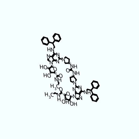 CCNC(=O)[C@H]1O[C@@H](n2cnc3c(NCC(c4ccccc4)c4ccccc4)nc(N4CC[C@H](NC(=O)N[C@@H]5CCN(c6nc(NCC(c7ccccc7)c7ccccc7)c7ncn([C@H]8O[C@@H](C(=O)NCC)[C@@H](O)[C@H]8O)c7n6)C5)C4)nc32)[C@H](O)[C@@H]1O